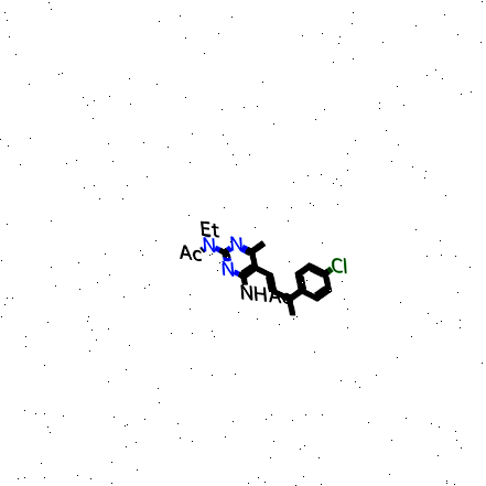 CCN(C(C)=O)c1nc(C)c(C=CC(C)c2ccc(Cl)cc2)c(NC(C)=O)n1